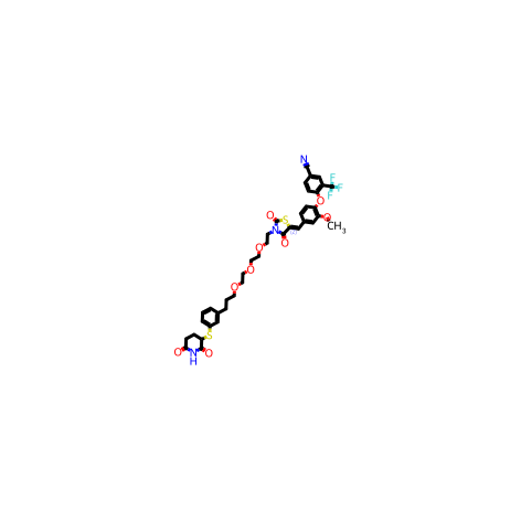 COc1cc(/C=C2\SC(=O)N(CCOCCOCCOCCCc3cccc(SC4CCC(=O)NC4=O)c3)C2=O)ccc1Oc1ccc(C#N)cc1C(F)(F)F